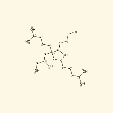 OCCCC(O)C(CCCCCC(O)O)(CCCC(O)O)CC(O)CO